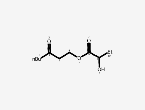 CCCCC(=O)CCOC(=O)C(O)CC